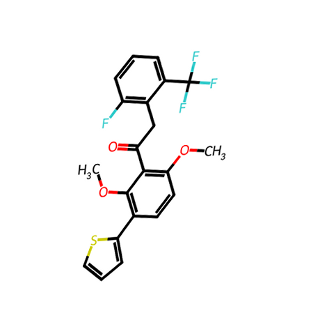 COc1ccc(-c2cccs2)c(OC)c1C(=O)Cc1c(F)cccc1C(F)(F)F